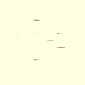 CS1(C)c2ccccc2B2c3ccccc3S(C)(C)c3cccc1c32